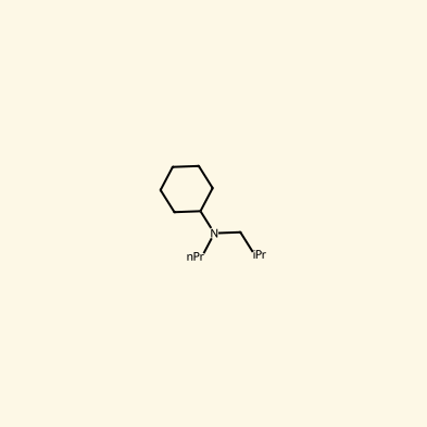 CCCN(CC(C)C)C1CCCCC1